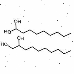 CCCCCCCCC(O)CO.CCCCCCCCC(O)O